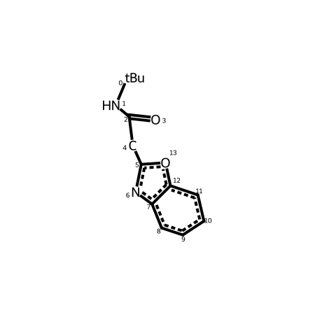 CC(C)(C)NC(=O)Cc1nc2ccccc2o1